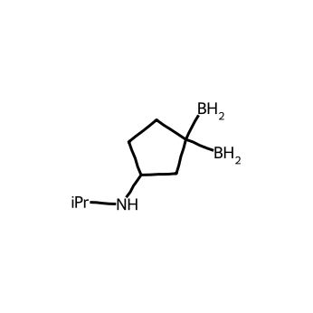 BC1(B)CCC(NC(C)C)C1